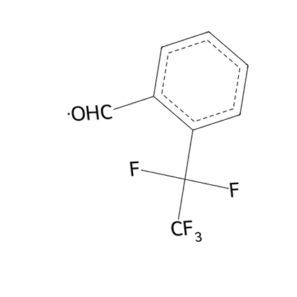 O=[C]c1ccccc1C(F)(F)C(F)(F)F